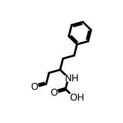 O=CCC(CCc1ccccc1)NC(=O)O